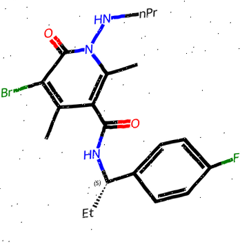 CCCNn1c(C)c(C(=O)N[C@@H](CC)c2ccc(F)cc2)c(C)c(Br)c1=O